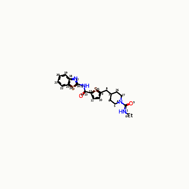 CCNC(=O)N1CCC(Cc2ccc(C(=O)Nc3nc4ccccc4s3)s2)CC1